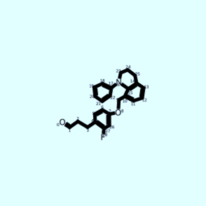 O=CCCc1ccc(OCc2cccc3c2N(c2ccccc2)CCC3)cc1F